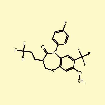 COc1cc2c(cc1C(F)(F)F)N(c1ccc(F)cc1)C(=O)C(CCC(F)(F)F)CS2